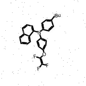 CCC(C)c1ccc(N(c2ccc(OC(F)=C(F)F)cc2)c2cccc3ccccc23)cc1